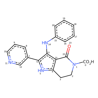 O=C(O)N1CCc2[nH]c(-c3cccnc3)c(Nc3ccccc3)c2C1=O